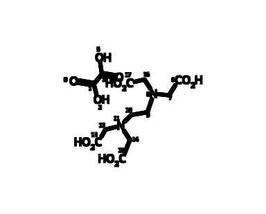 O=C(O)C(=O)O.O=C(O)CN(CCN(CC(=O)O)CC(=O)O)CC(=O)O